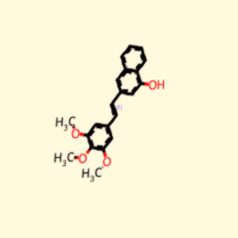 COc1cc(/C=C/c2cc(O)c3ccccc3c2)cc(OC)c1OC